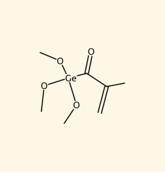 C=C(C)[C](=O)[Ge]([O]C)([O]C)[O]C